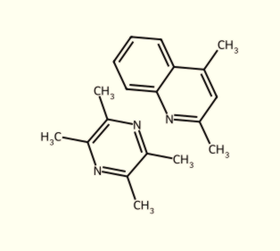 Cc1cc(C)c2ccccc2n1.Cc1nc(C)c(C)nc1C